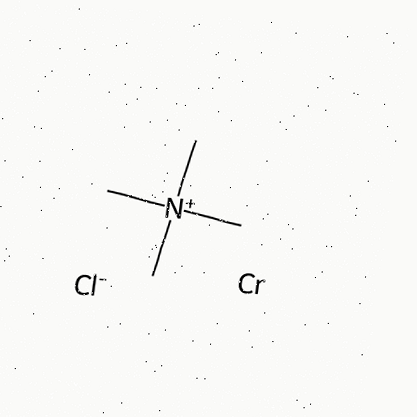 C[N+](C)(C)C.[Cl-].[Cr]